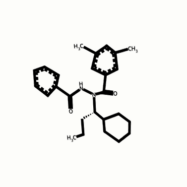 CCC[C@@H](C1CCCCC1)N(NC(=O)c1ccccc1)C(=O)c1cc(C)cc(C)c1